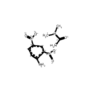 CN(C)C(N)=O.Nc1ccc([N+](=O)[O-])cc1[N+](=O)[O-]